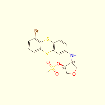 CS(=O)(=O)O[C@@H]1COC[C@H]1Nc1ccc2c(c1)Sc1cccc(Br)c1S2